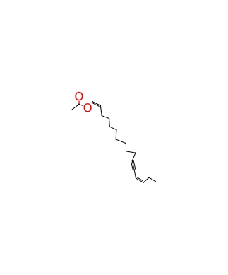 CC/C=C\C#CCCCCCCCC/C=C\OC(C)=O